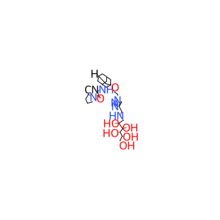 N#C[C@@H]1CCCN1C(=O)CNC12CC3C[C@@H](C1)CC(OCCn1cc(CNC[C@H](O)[C@@H](O)[C@H](O)[C@H](O)CO)nn1)(C3)C2